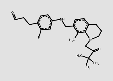 Cc1c(CNc2ccc(CCC=O)c(F)c2)ccc2c1N(CC(=O)C(C)(C)C)CCC2